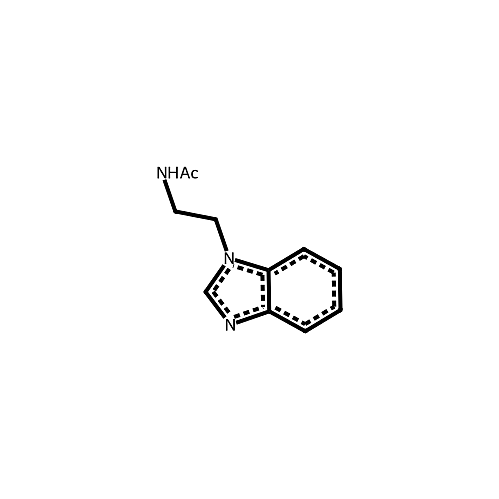 CC(=O)NCCn1cnc2ccccc21